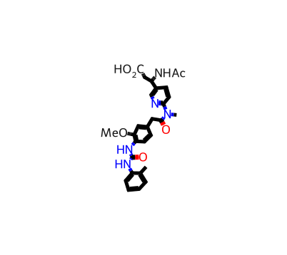 COc1cc(CC(=O)N(C)c2ccc(C(CC(=O)O)NC(C)=O)cn2)ccc1NC(=O)Nc1ccccc1C